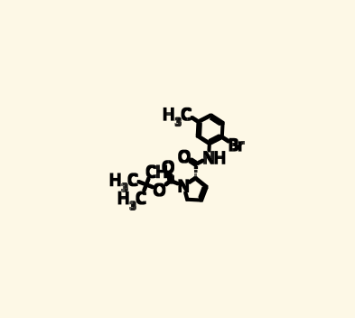 Cc1ccc(Br)c(NC(=O)[C@@H]2C=CCN2C(=O)OC(C)(C)C)c1